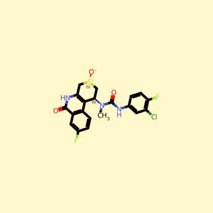 CN(C(=O)Nc1ccc(F)c(Cl)c1)[C@@H]1C[S@@+]([O-])Cc2[nH]c(=O)c3cc(F)ccc3c21